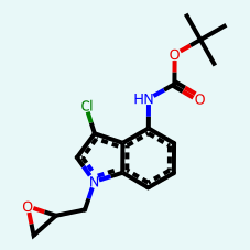 CC(C)(C)OC(=O)Nc1cccc2c1c(Cl)cn2CC1CO1